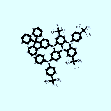 CC(C)(C)c1ccc(N(c2ccccc2)c2ccc3c(c2)N(c2ccc4c(c2)-c2ccccc2C4(c2ccccc2)c2ccccc2)c2cc(C(C)(C)C)cc4c2B3c2cc(C(C)(C)C)ccc2N4c2ccc(C(C)(C)C)cc2)cc1